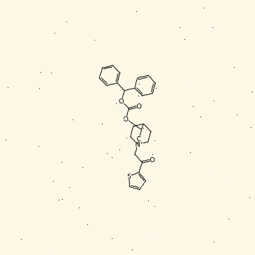 O=C(OC(c1ccccc1)c1ccccc1)OC1C[N+]2(CC(=O)c3cccs3)CCC1CC2